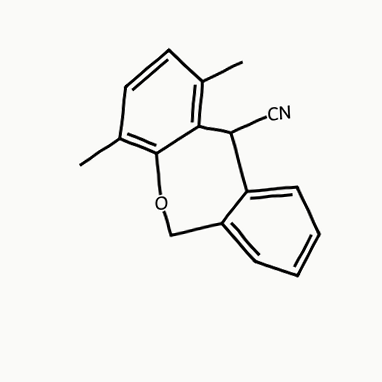 Cc1ccc(C)c2c1OCc1ccccc1C2C#N